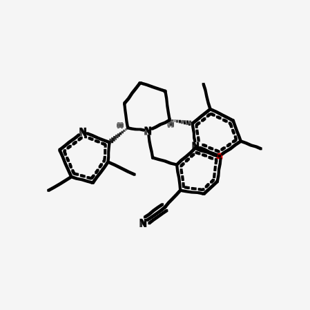 Cc1cnc([C@H]2CCC[C@@H](c3ncc(C)cc3C)N2Cc2ccccc2C#N)c(C)c1